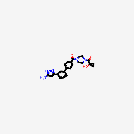 Nc1cc(-c2cccc(-c3ccc(C(=O)N4CCN(C(=O)C5(O)CC5)CC4)cc3)c2)n[nH]1